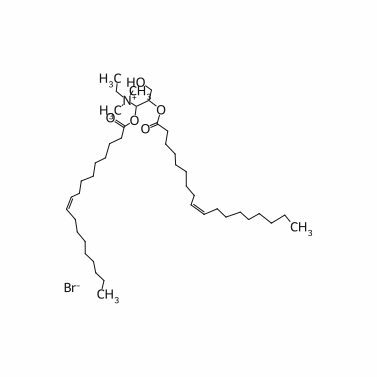 CCCCCCCC/C=C\CCCCCCCC(=O)OC(CO)C(OC(=O)CCCCCCC/C=C\CCCCCCCC)[N+](C)(C)CC.[Br-]